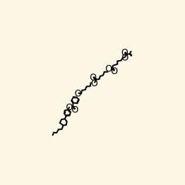 C=C(C)C(=O)OCCCCCC(=O)OCCCCCC(=O)OCCCCCCOc1ccc(C(=O)Oc2ccc(C3CCC(CCCCC)CC3)cc2)cc1